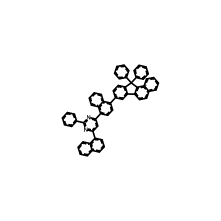 c1ccc(-c2nc(-c3cccc4ccccc34)cc(-c3ccc(-c4ccc5c(c4)-c4ccc6ccccc6c4C5(c4ccccc4)c4ccccc4)c4ccccc34)n2)cc1